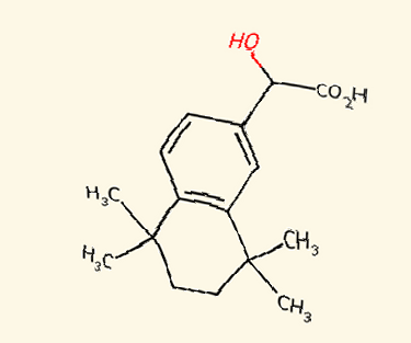 CC1(C)CCC(C)(C)c2cc(C(O)C(=O)O)ccc21